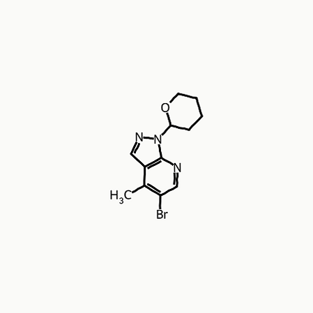 Cc1c(Br)cnc2c1cnn2C1CCCCO1